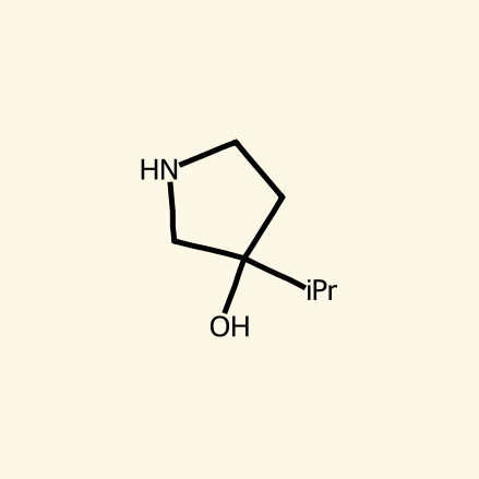 CC(C)C1(O)CCNC1